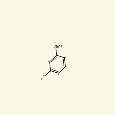 CNc1[c]ccc(F)c1